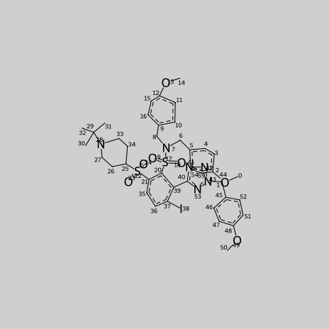 COc1ccc(CN(Cc2ccc(OC)cc2)S(=O)(=O)c2c(S(=O)(=O)C3CCN(C(C)(C)C)CC3)ccc(I)c2-c2nnn(Cc3ccc(OC)cc3)n2)cc1